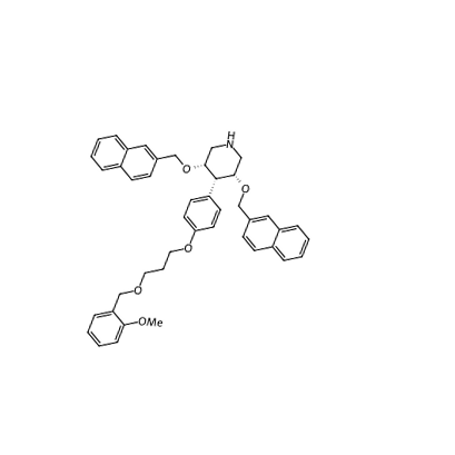 COc1ccccc1COCCCOc1ccc([C@H]2[C@@H](OCc3ccc4ccccc4c3)CNC[C@H]2OCc2ccc3ccccc3c2)cc1